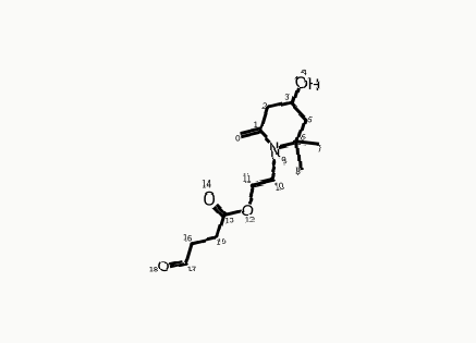 C=C1CC(O)CC(C)(C)N1CCOC(=O)CCC=O